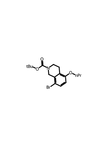 CCCOc1ccc(Br)c2c1CCN(C(=O)OC(C)(C)C)C2